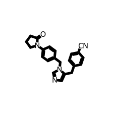 N#Cc1ccc(Cc2cncn2Cc2ccc(N3CCCC3=O)cc2)cc1